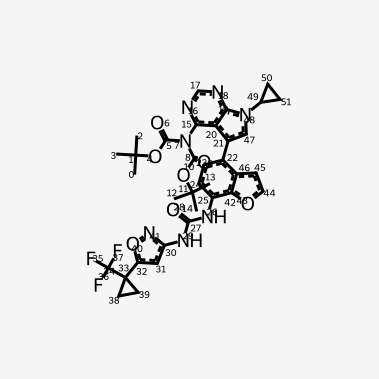 CC(C)(C)OC(=O)N(C(=O)OC(C)(C)C)c1ncnc2c1c(-c1ccc(NC(=O)Nc3cc(C4(C(F)(F)F)CC4)on3)c3occc13)cn2C1CC1